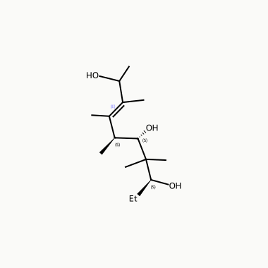 CC[C@H](O)C(C)(C)[C@@H](O)[C@@H](C)/C(C)=C(\C)C(C)O